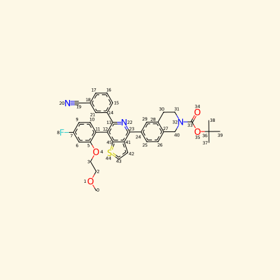 COCCOc1cc(F)ccc1-c1c(-c2cccc(C#N)c2)nc(-c2ccc3c(c2)CCN(C(=O)OC(C)(C)C)C3)c2ccsc12